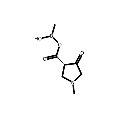 CB(O)OC(=O)[C@H]1CN(C)CC1=O